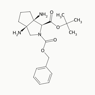 CC(C)(C)OC(=O)[C@H]1N(C(=O)OCc2ccccc2)C[C@]2(N)CCC[C@]12N